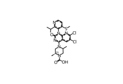 CSc1ccnc(C(C)C)c1-n1c(=O)nc(N2C[C@H](C)N(C(=O)O)CC2C)c2cc(Cl)c(Cl)nc21